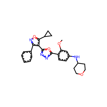 COc1cc(NC2CCOCC2)ccc1-c1nnc(-c2c(-c3ccccc3)noc2C2CC2)o1